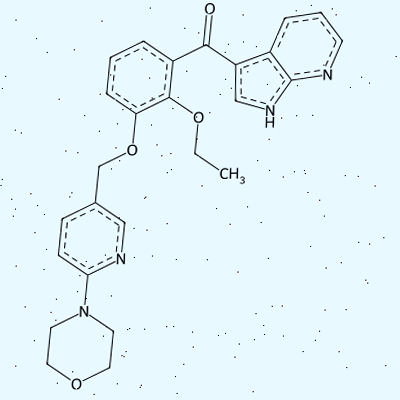 CCOc1c(OCc2ccc(N3CCOCC3)nc2)cccc1C(=O)c1c[nH]c2ncccc12